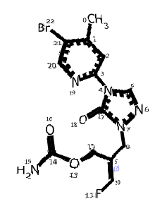 Cc1cc(-n2cnn(C/C(=C/F)COC(N)=O)c2=O)ncc1Br